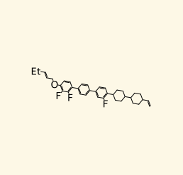 C=CC1CCC(C2CCC(c3ccc(-c4ccc(-c5ccc(OC/C=C/CC)c(F)c5F)cc4)cc3F)CC2)CC1